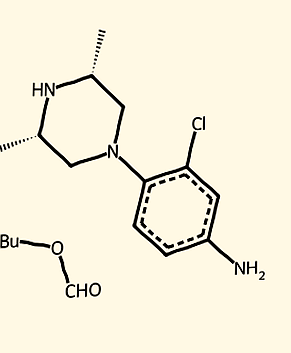 CC(C)(C)OC=O.C[C@@H]1CN(c2ccc(N)cc2Cl)C[C@H](C)N1